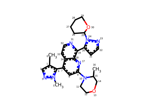 Cc1cnn(C)c1-c1cc(N2CCOCC2C)nc2c(-c3ccnn3C3CCCCO3)nccc12